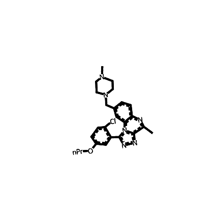 CCCOc1ccc(Cl)c(-c2nnc3c(C)nc4ccc(CN5CCN(C)CC5)cc4n23)c1